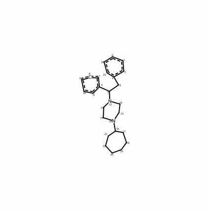 c1ccc(CC(c2ccccc2)N2CCN(C3CCCCCC3)CC2)cc1